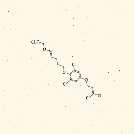 ClC(Cl)=CCOc1cc(Cl)c(OCCCC=NOCC(Cl)(Cl)Cl)c(Cl)c1